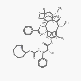 CO[C@H]1C(=O)[C@]2(C)[C@@H](OC)C[C@H]3OC[C@@]3(OC(C)=O)[C@H]2[C@H](OC(=O)c2ccccc2)[C@]2(O)C[C@H](OC(=O)[C@H](O)[C@@H](NC(=O)OC3/C=C/CCCCC3)c3ccccc3)C(C)=C1C2(C)C